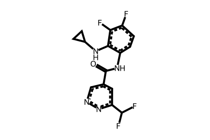 O=C(Nc1ccc(F)c(F)c1NC1CC1)c1cnnc(C(F)F)c1